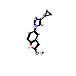 O=C(O)c1cc2cc(-n3cnc(C4CC4)c3)ccc2o1